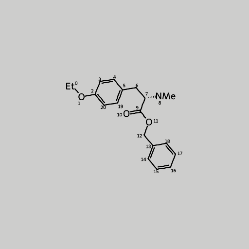 CCOc1ccc(C[C@H](NC)C(=O)OCc2ccccc2)cc1